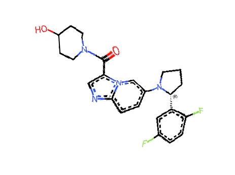 O=C(c1cnc2ccc(N3CCC[C@@H]3c3cc(F)ccc3F)cn12)N1CCC(O)CC1